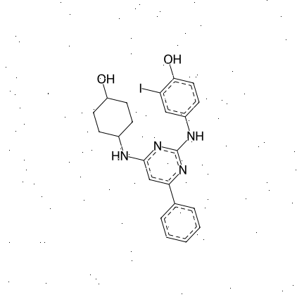 Oc1ccc(Nc2nc(NC3CCC(O)CC3)cc(-c3ccccc3)n2)cc1I